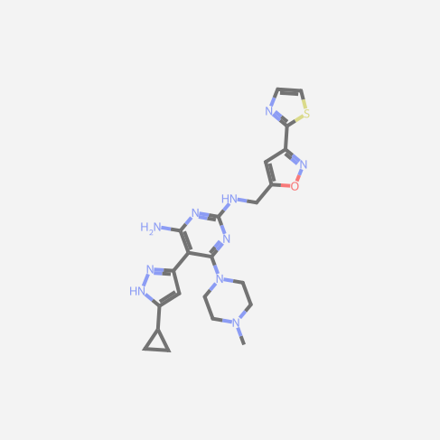 CN1CCN(c2nc(NCc3cc(-c4nccs4)no3)nc(N)c2-c2cc(C3CC3)[nH]n2)CC1